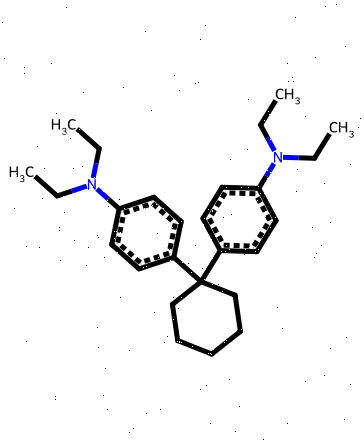 CCN(CC)c1ccc(C2(c3ccc(N(CC)CC)cc3)CCCCC2)cc1